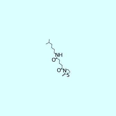 C=C1SCCN1C(=O)CCCC(=O)NCCCCC(C)C